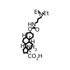 CCN(CC)CCCNC(=O)O[C@H]1CC[C@@]2(C)[C@H](CC[C@@H]3[C@@H]2CC[C@]2(C)[C@@H](C(=O)O)CC[C@]32N)C1